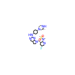 C[C@@H]1CN(c2ccc(Nc3ncc4ccn(Cc5cc(F)cnc5N(C)S(C)(=O)=O)c4n3)cc2)CCN1